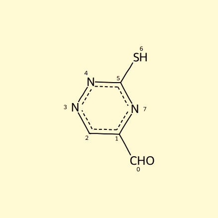 O=Cc1cnnc(S)n1